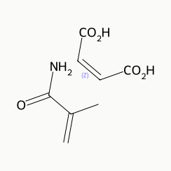 C=C(C)C(N)=O.O=C(O)/C=C\C(=O)O